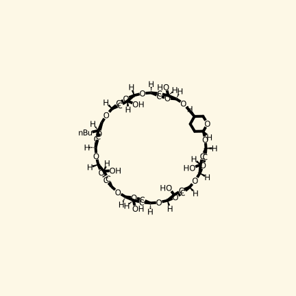 CCCC[C@@H]1C[C@H]2COC1O[C@@H]1CO[C@H](O[C@@H]3CO[C@H](O[C@H]4CC[C@H](OC4)O[C@@H]4CO[C@H](O[C@@H]5CO[C@H](O[C@@H]6CO[C@H](OC7CO[C@H](O2)[C@H](O)C7)[C@H](O)C6)C(O)C5)[C@H](O)C4)[C@H](O)C3)[C@H](O)C1